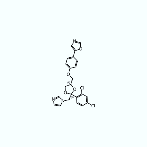 Clc1ccc([C@]2(Cn3ccnc3)OC[C@@H](COc3ccc(-c4cnco4)cc3)O2)c(Cl)c1